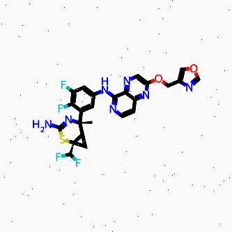 C[C@]1(c2cc(Nc3nccc4nc(OCc5cocn5)cnc34)cc(F)c2F)N=C(N)S[C@@]2(C(F)F)CC21